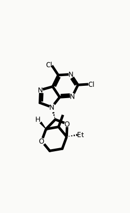 CC[C@]12CCO[C@@H](C1C)[C@H](n1cnc3c(Cl)nc(Cl)nc31)O2